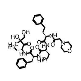 CC(C)C[C@H](NC(=O)[C@H](CCc1ccccc1)NC(=O)CN1CCOCC1)C(=O)N[C@@H](Cc1ccccc1)C(=O)N[C@H](CC(C)C)C(=O)C(C)(O)CO